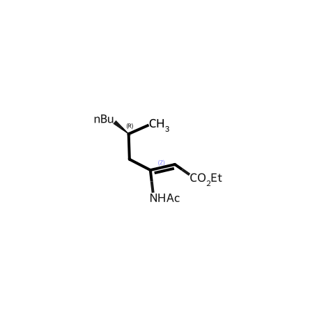 CCCC[C@@H](C)C/C(=C/C(=O)OCC)NC(C)=O